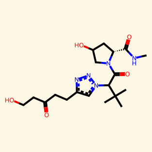 CNC(=O)[C@H]1CC(O)CN1C(=O)C(n1cc(CCC(=O)CCO)nn1)C(C)(C)C